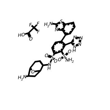 Nc1nc2c(-c3ccc(S(=O)(=O)NC4CCC5OC4CC5N)c(S(N)(=O)=O)c3-c3nnn[nH]3)cccc2s1.O=C(O)C(F)(F)F